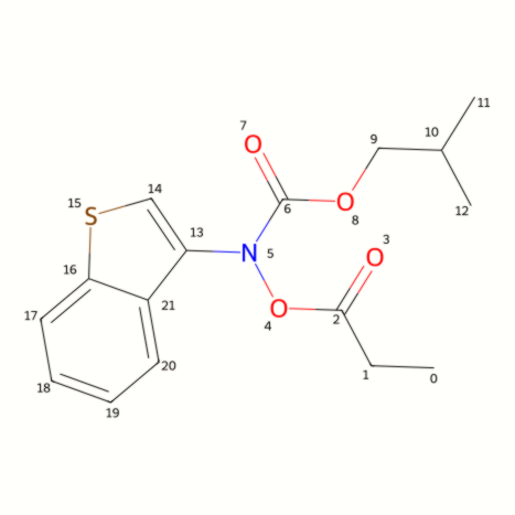 CCC(=O)ON(C(=O)OCC(C)C)c1csc2ccccc12